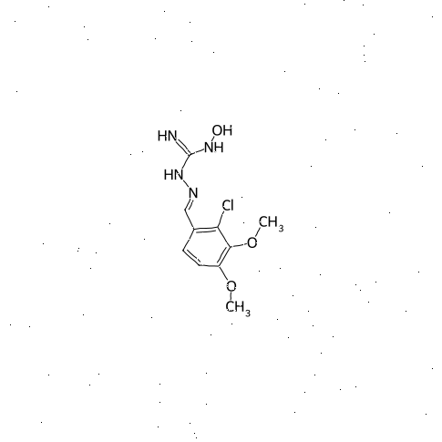 COc1ccc(/C=N/NC(=N)NO)c(Cl)c1OC